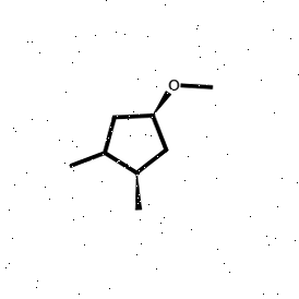 CO[C@@H]1CC(C)[C@H](C)C1